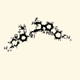 CN1CCP(=O)(c2ccc(NCC#Cc3sc4c(NC5CCN(C)C[C@@H]5F)cccc4c3CC(F)(F)F)c(OC(F)(F)F)c2)CC1